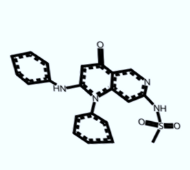 CS(=O)(=O)Nc1cc2c(cn1)c(=O)cc(Nc1ccccc1)n2-c1ccccc1